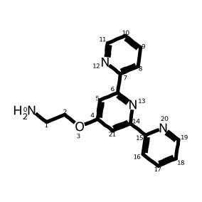 NCCOc1cc(-c2ccccn2)nc(-c2ccccn2)c1